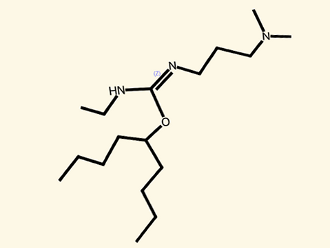 CCCCC(CCCC)O/C(=N\CCCN(C)C)NCC